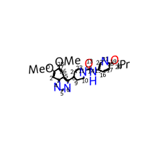 COc1cc2ncnc(C3CCN(C(=O)Nc4ccc(OC(C)C)nc4)CC3)c2cc1OC